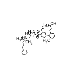 CCc1cc(-c2c(C)cccc2CCC(=O)O)ccc1S(=O)(=O)N(C)C[C@H](O)CNC(C)(C)CCCc1ccccc1